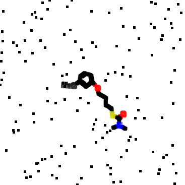 COc1cccc(OCCCCSC(=O)N(C)C)c1